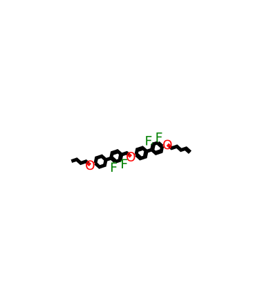 C=CCCCOc1ccc(-c2ccc(OCc3ccc(C4CCC(OCCCC)CC4)c(F)c3F)cc2)c(F)c1F